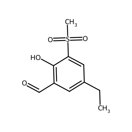 CCc1cc(C=O)c(O)c(S(C)(=O)=O)c1